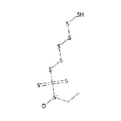 CC[S+]([O-])S(=S)(=S)SSSSSS